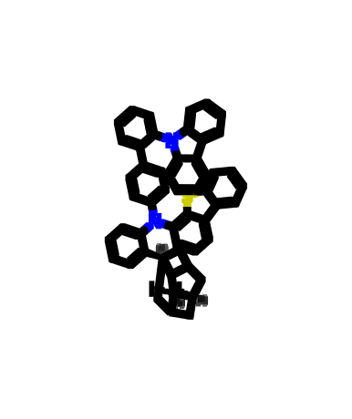 c1ccc(-n2c3ccccc3c3ccccc32)c(-c2ccc(N(c3ccccc3[C@]34CC5C[C@H]6CC(C3)[C@H]6C54)c3cccc4c3sc3ccccc34)cc2)c1